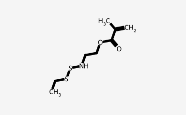 C=C(C)C(=O)OCCNSSCC